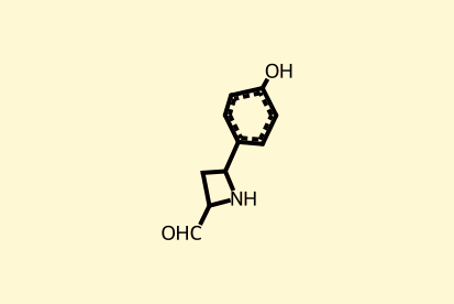 O=CC1CC(c2ccc(O)cc2)N1